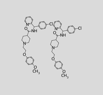 COc1ccc(OCCN2CCC(C(=O)NC(c3ccc(Cl)cc3)c3ccccn3)CC2)cc1.COc1ccc(OCCN2CCC(C(=O)NC(c3ccc(Cl)cc3)c3ccccn3)CC2)cc1